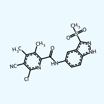 Cc1c(C(=O)Nc2ccc3[nH]nc(S(C)(=O)=O)c3c2)nc(Cl)c(C#N)c1C